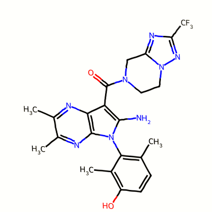 Cc1ccc(O)c(C)c1-n1c(N)c(C(=O)N2CCn3nc(C(F)(F)F)nc3C2)c2nc(C)c(C)nc21